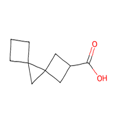 O=C(O)C1CC2(C1)CC21CCC1